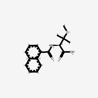 COC(C)(C)[C@H](NC(=O)c1cccc2ccccc12)C(=O)O